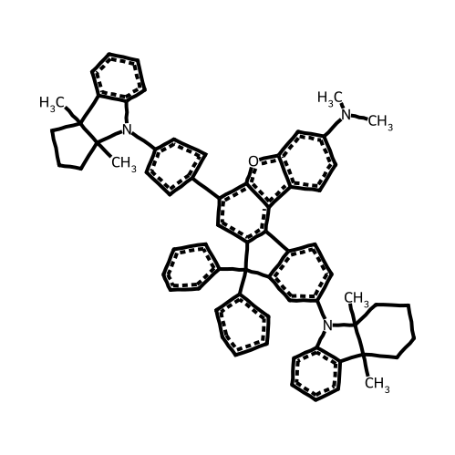 CN(C)c1ccc2c(c1)oc1c(-c3ccc(N4c5ccccc5C5(C)CCCC45C)cc3)cc3c(c12)-c1ccc(N2c4ccccc4C4(C)CCCCC24C)cc1C3(c1ccccc1)c1ccccc1